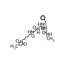 CCNC(=O)CNC[C@H](Cc1ccccc1)NC(=O)CNC(=O)CNC(=O)CCCCCN1C(=O)CC(C)C1=O